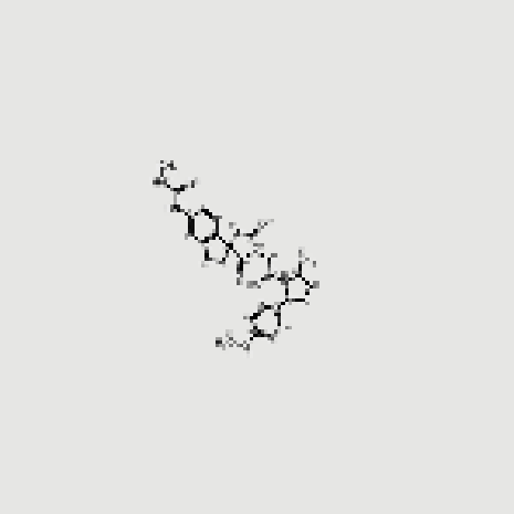 CNC(=O)Nc1ccc2c(c1)CCC21OC(=O)N(CC(=O)N2C(C)CCC2c2ccc(OC)cc2)C1=O